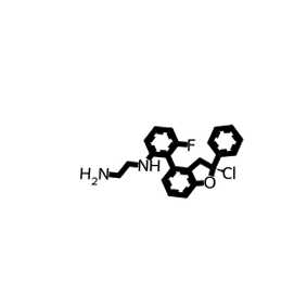 NCCNc1cccc(F)c1-c1cccc2c1C[C@@](Cl)(c1ccccc1)O2